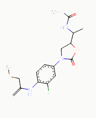 C=C(CSN=O)Nc1ccc(N2CC(C(C)NC(=O)OC)OC2=O)cc1F